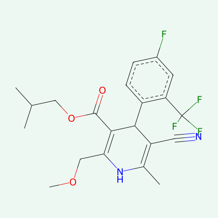 COCC1=C(C(=O)OCC(C)C)C(c2ccc(F)cc2C(F)(F)F)C(C#N)=C(C)N1